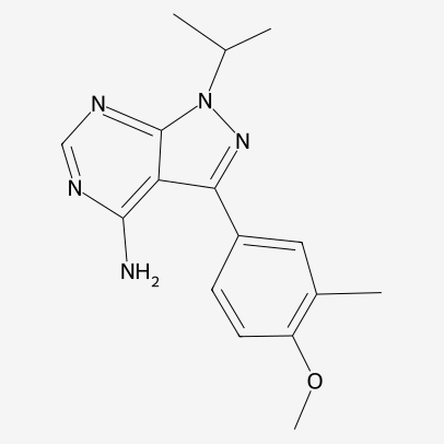 COc1ccc(-c2nn(C(C)C)c3ncnc(N)c23)cc1C